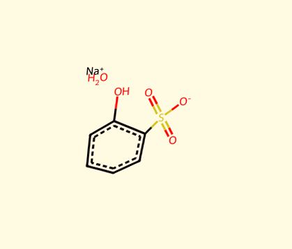 O.O=S(=O)([O-])c1ccccc1O.[Na+]